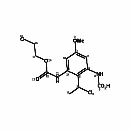 COc1cc(NC(=O)O)c(C(C)Cl)c(NC(=O)OCCCl)c1